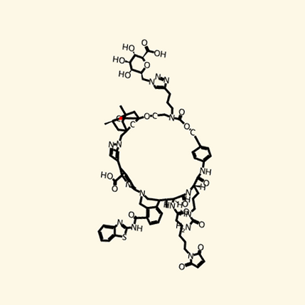 Cc1c2cnn1CC13CC4(C)CC(C1)(C[C@](C)(C4)C3)OCCN(CCCc1cn(C[C@@H]3O[C@H](C(=O)O)[C@@H](O)[C@H](O)[C@H]3O)nn1)C(=O)OCc1ccc(cc1)NC(=O)[C@H](CCCNC(N)=O)NC(=O)[C@@H](NC(=O)CCCCCN1C(=O)C=CC1=O)C(C)C1CN(Cc3c(C(=O)Nc4nc5ccccc5s4)cccc31)c1ccc-2c(C(=O)O)n1